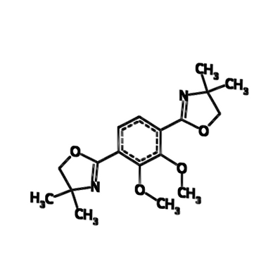 COc1c(C2=NC(C)(C)CO2)ccc(C2=NC(C)(C)CO2)c1OC